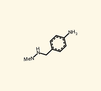 CNNCc1ccc(N)cc1